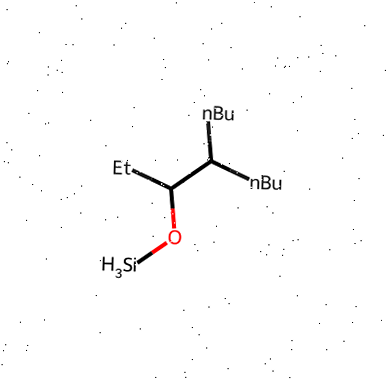 CCCCC(CCCC)C(CC)O[SiH3]